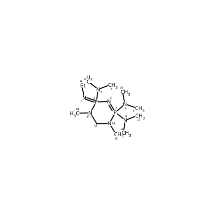 CCN=P1(N(C)C)N=P(N(C)C)(N(C)C)N(C)CN1C